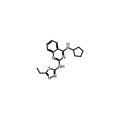 CCc1nnc(Nc2nc(NC3CCCC3)c3ccccc3n2)s1